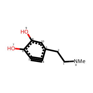 CNCCc1c#cc(O)c(O)c1